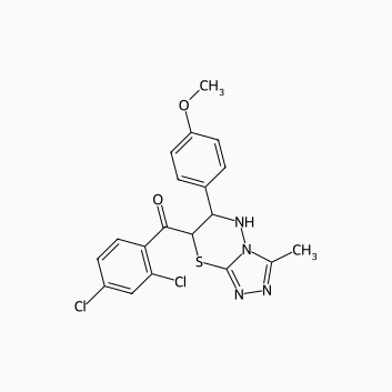 COc1ccc(C2Nn3c(C)nnc3SC2C(=O)c2ccc(Cl)cc2Cl)cc1